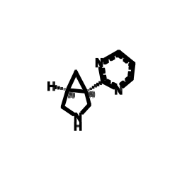 c1cnc([C@]23CNC[C@H]2C3)nc1